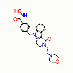 O=C(NO)c1ccc(Cn2c3c(c4ccccc42)C(=O)N(CCN2CCOCC2)CC3)cc1